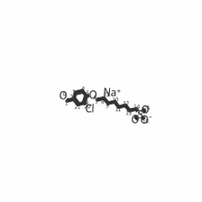 O=Cc1ccc(OCCCCCCCCS(=O)(=O)[O-])c(Cl)c1.[Na+]